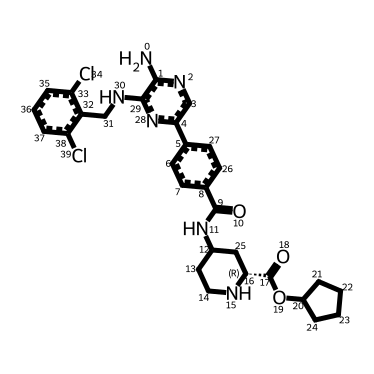 Nc1ncc(-c2ccc(C(=O)NC3CCN[C@@H](C(=O)OC4CCCC4)C3)cc2)nc1NCc1c(Cl)cccc1Cl